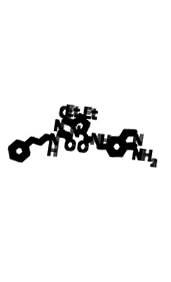 CCC1(CC)C[C@@H](C(=O)NCc2ccc3c(N)nccc3c2)n2c1c(Cl)nc(NCCCc1ccccc1)c2=O